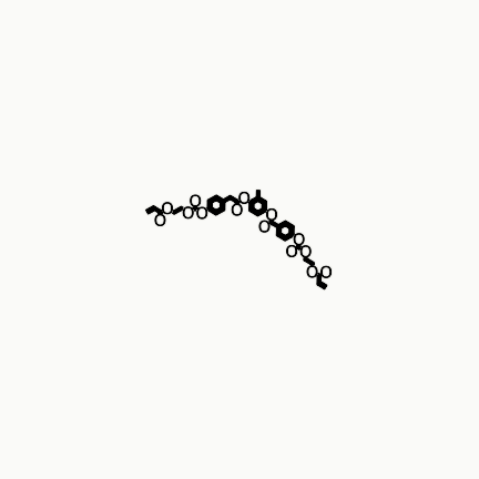 C=CC(=O)OCCOC(=O)Oc1ccc(CC(=O)Oc2ccc(OC(=O)c3ccc(OC(=O)OCCOC(=O)C=C)cc3)cc2C)cc1